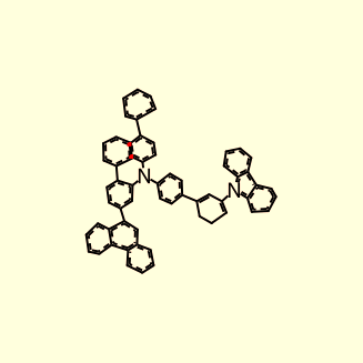 C1=C(c2ccc(N(c3ccc(-c4ccccc4)cc3)c3cc(-c4cc5ccccc5c5ccccc45)ccc3-c3ccccc3)cc2)CCC=C1n1c2ccccc2c2ccccc21